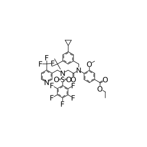 CCOC(=O)c1ccc(N(Cc2cc(C3CC3)cc(C(C)(C)C)c2)C(=O)CN(Cc2cnccc2C(F)(F)F)S(=O)(=O)c2c(F)c(F)c(F)c(F)c2F)c(OC)c1